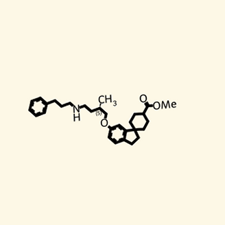 COC(=O)C1CCC2(CCc3ccc(OC[C@@H](C)CCNCCCc4ccccc4)cc32)CC1